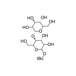 CC(C)(C)OC1OC(CO)[C@@H](O[C@H]2OC(CO)[C@@H](O)[C@H](O)C2O)[C@H](O)C1O